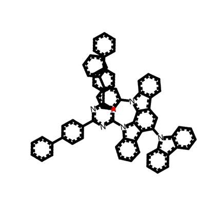 c1ccc(-c2ccc(-c3nc(-c4ccc(-c5ccccc5)cc4)nc(-n4c5ccccc5c5c(-n6c7ccccc7c7ccccc76)cc6c7ccccc7n(-c7cccc(-c8ccccc8)c7)c6c54)n3)cc2)cc1